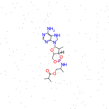 CC(COC(=O)C(C)C)NP1OCC2OC(N3CNc4c(N)ncnc43)C(C)[C@@H]2O1